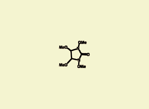 COC1C(OC)N(OC)C(=O)N1OC